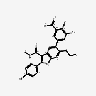 CCCc1nc2oc(-c3ccc(F)cc3)c(C(=O)NC)c2cc1-c1cc(F)c(F)c(C(=O)O)c1